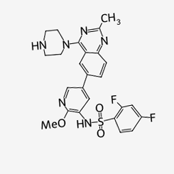 COc1ncc(-c2ccc3nc(C)nc(N4CCNCC4)c3c2)cc1NS(=O)(=O)c1ccc(F)cc1F